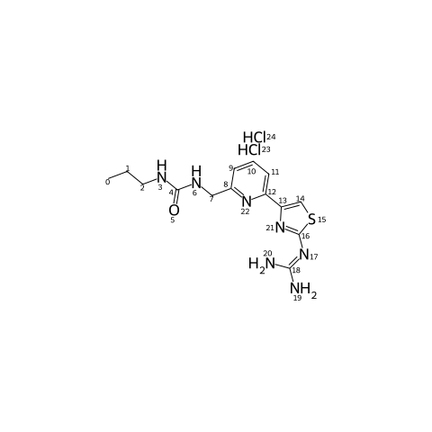 CCCNC(=O)NCc1cccc(-c2csc(N=C(N)N)n2)n1.Cl.Cl